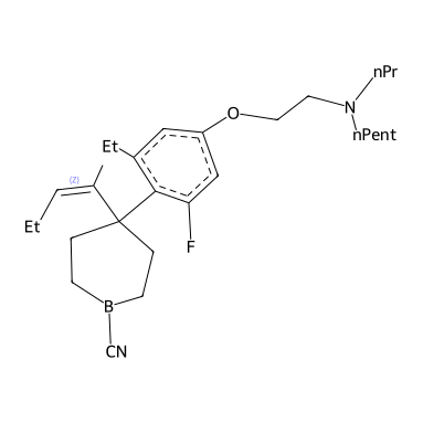 CC/C=C(/C)C1(c2c(F)cc(OCCN(CCC)CCCCC)cc2CC)CCB(C#N)CC1